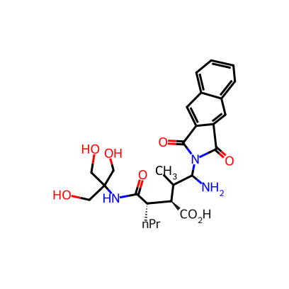 CCC[C@H](C(=O)NC(CO)(CO)CO)[C@H](C(=O)O)C(C)C(N)N1C(=O)c2cc3ccccc3cc2C1=O